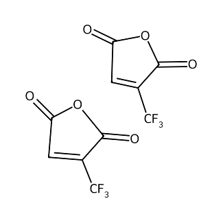 O=C1C=C(C(F)(F)F)C(=O)O1.O=C1C=C(C(F)(F)F)C(=O)O1